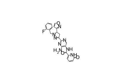 Nc1nc(C2=NN(Cc3ccccc3F)C(c3ccon3)C2)ncc1NC(=O)c1cccc(=O)[nH]1